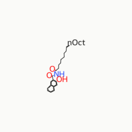 CCCCCCCCC=CCCCCCCCC(=O)NC(=O)c1cc2ccccc2cc1O